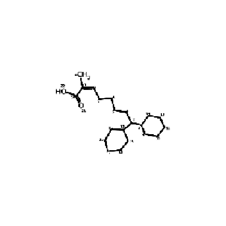 CC(=CCCCCC(C1CCCCC1)C1CCCCC1)C(=O)O